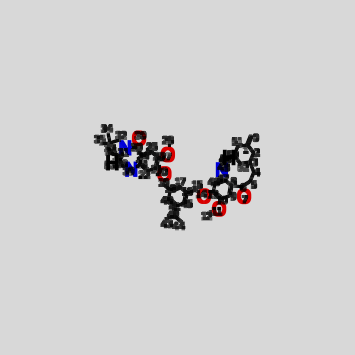 C=C1CC2CCC(=O)c3cc(OC)c(OCc4cc(COc5cc6c(cc5OC)C(=O)N5CC(C)(C)C[C@H]5C=N6)cc(C(C)C)c4)cc3/N=C\[C@H](C1)C2